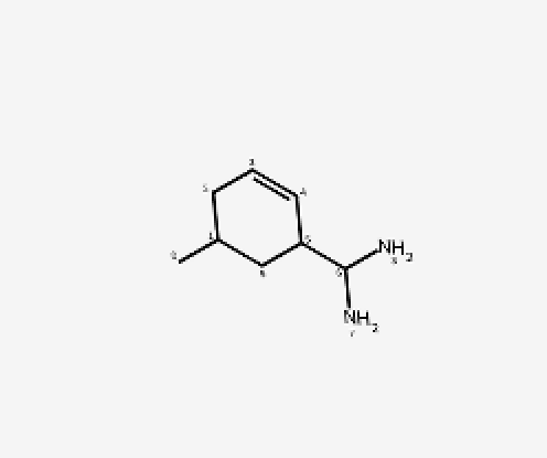 CC1CC=CC(C(N)N)C1